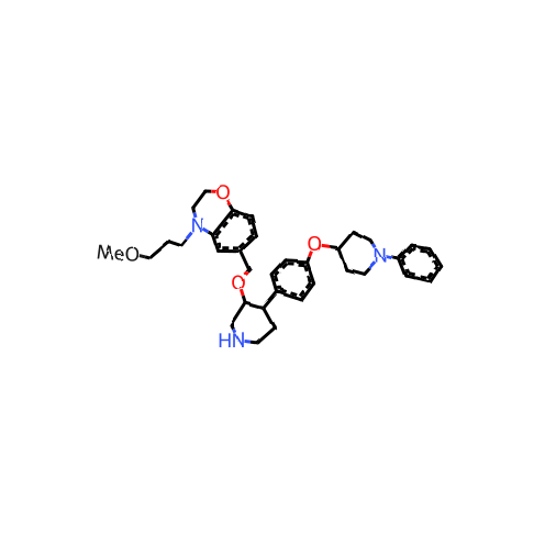 COCCCN1CCOc2ccc(COC3CNCCC3c3ccc(OC4CCN(c5ccccc5)CC4)cc3)cc21